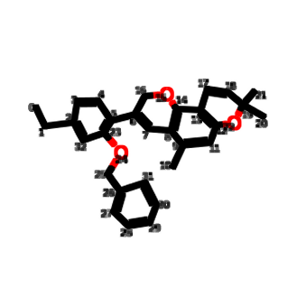 CCc1ccc(C2=Cc3c(C)cc4c(c3OC2)C=CC(C)(C)O4)c(OCc2ccccc2)c1